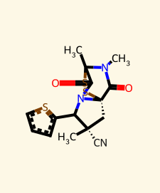 CN1C(=O)[C@@]23C[C@](C)(C#N)C(c4cccs4)N2C(=O)C1(C)SS3